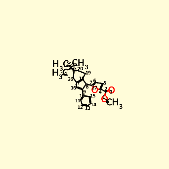 COC(=O)c1ccc(C2C(c3ccccc3)=CC3=C2CCC(C(C)(C)C)C3)o1